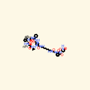 CCC[C@H](NC(=O)[C@@H]1C2CCC[C@H]2CN1C(=O)[C@@H](NC(=O)[C@@H](NC(=O)c1cnc(C(=O)NCCCCCCCCNC(=O)CNc2cccc3c2C(=O)N(C2CCC(=O)NC2=O)C3=O)cn1)C1CCCCC1)C(C)(C)C)C(=O)C(=O)NC1CC1